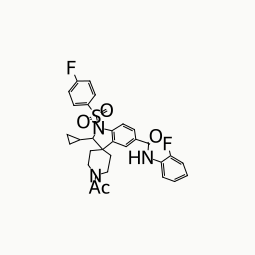 CC(=O)N1CCC2(CC1)c1cc(C(=O)Nc3ccccc3F)ccc1N(S(=O)(=O)c1ccc(F)cc1)C2C1CC1